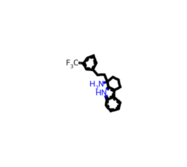 NC1(CCc2cccc(C(F)(F)F)c2)CCCc2c1[nH]c1ccccc21